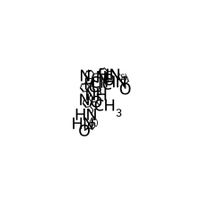 COc1nc(-c2ccnc(-c3cccc(Nc4nccc(CNC[C@@H]5CCC(=O)N5)c4OC)c3Cl)c2Cl)ccc1CNC[C@@H]1CCC(=O)N1